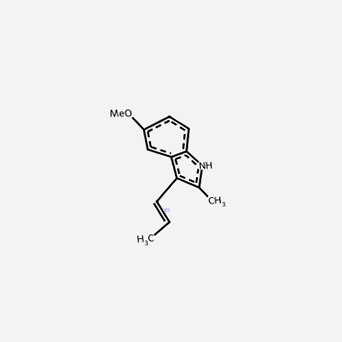 C/C=C/c1c(C)[nH]c2ccc(OC)cc12